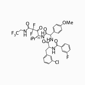 COc1ccc(C(NC(=O)C(Cc2cccc(Cl)c2)NC(=O)c2cccc(F)c2)C(=O)N[C@H](C(=O)C(F)(F)C(=O)NCC(F)(F)F)C(C)C)cc1